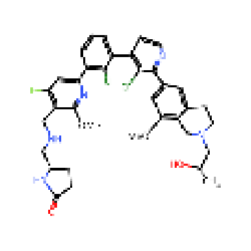 COc1cc(-c2nccc(-c3cccc(-c4cc(F)c(CNC[C@H]5CCC(=O)N5)c(OC)n4)c3Cl)c2Cl)cc2c1CN(C[C@H](C)O)CC2